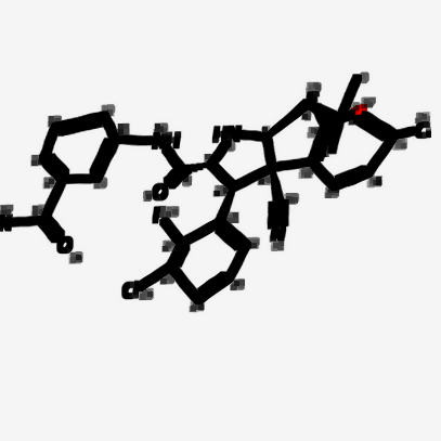 CC(C)(C)C[C@@H]1N[C@@H](C(=O)Nc2cccc(C(N)=O)c2)[C@H](c2cccc(Cl)c2F)[C@@]1(C#N)c1ccc(Cl)cc1F